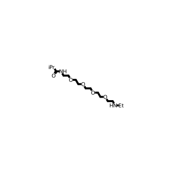 CCNCCOCCOCCOCCOCCNC(=O)C(C)C